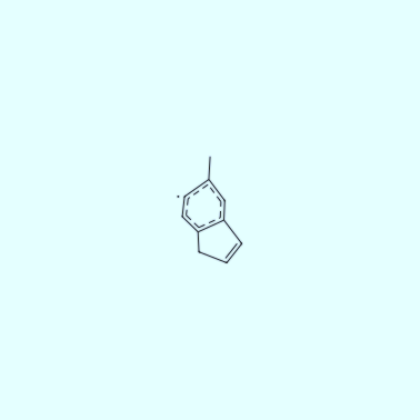 Cc1[c]cc2c(c1)C=CC2